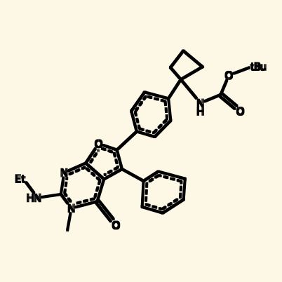 CCNc1nc2oc(-c3ccc(C4(NC(=O)OC(C)(C)C)CCC4)cc3)c(-c3ccccc3)c2c(=O)n1C